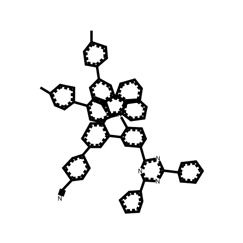 Cc1ccc(-c2ccc3c(c2)c2ccccc2n3-c2ccc(-c3ccc(C#N)cc3)cc2-c2cc(-c3nc(-c4ccccc4)nc(-c4ccccc4)n3)ccc2-n2c3ccccc3c3cc(-c4ccc(C)cc4)ccc32)cc1